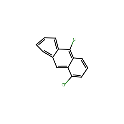 Clc1[c]ccc2c(Cl)c3c[c]ccc3cc12